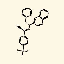 N#C/C(=N\[C@H](Cc1ccccc1)c1ccc2ccccc2c1)c1ccc(C(F)(F)F)cc1